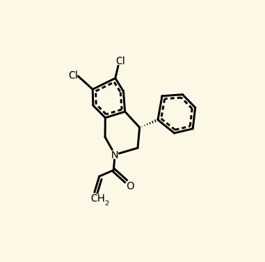 C=CC(=O)N1Cc2cc(Cl)c(Cl)cc2[C@H](c2ccccc2)C1